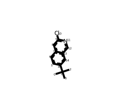 CC(C)(C)c1ccc2cc(Cl)ncc2c1